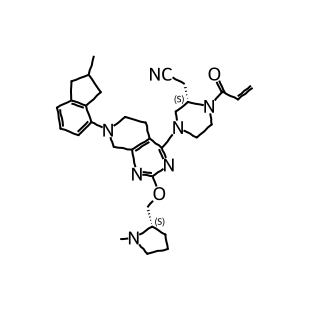 C=CC(=O)N1CCN(c2nc(OC[C@@H]3CCCN3C)nc3c2CCN(c2cccc4c2CC(C)C4)C3)C[C@@H]1CC#N